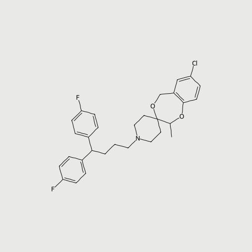 CC1Oc2ccc(Cl)cc2COC12CCN(CCCC(c1ccc(F)cc1)c1ccc(F)cc1)CC2